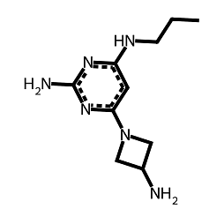 CCCNc1cc(N2CC(N)C2)nc(N)n1